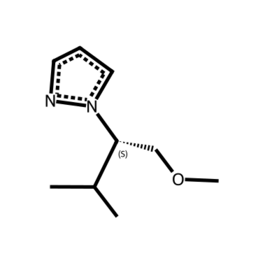 COC[C@H](C(C)C)n1cccn1